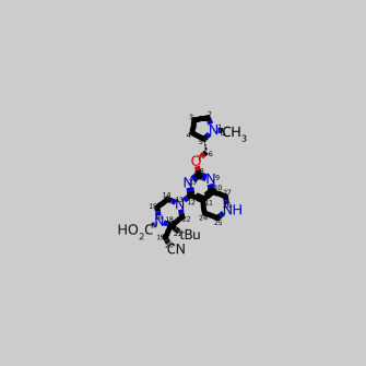 CN1CCC[C@H]1COc1nc2c(c(N3CCN(C(=O)O)C(CC#N)(C(C)(C)C)C3)n1)CCNC2